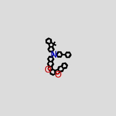 CC1(C)c2ccccc2-c2ccc(N(c3ccc(-c4ccccc4)cc3)c3ccc4cc5oc6ccc7oc8cc9ccccc9cc8c7c6c5cc4c3)cc21